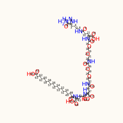 NN[C@@H](CCCCNC(=O)CC[C@H](NC(=O)COCCOCCNC(=O)COCCOCCNC(=O)CC[C@H](NC(=O)CC[C@H](NC(=O)CCCCCCCCCCCCCCCCC(=O)O)C(=O)O)C(=O)O)C(=O)O)C(N)=O